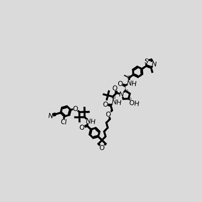 Cc1ncsc1-c1ccc([C@H](C)NC(=O)[C@@H]2C[C@@H](O)CN2C(=O)[C@@H](NC(=O)COCCCCCC2(c3ccc(C(=O)NC4C(C)(C)C(Oc5ccc(C#N)c(Cl)c5)C4(C)C)cc3)COC2)C(C)(C)C)cc1